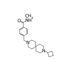 CNC(=O)c1ccc(CN2CCC3(CC2)CCN(C2CCC2)CC3)cc1